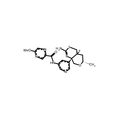 COc1cnc(C(=O)Nc2cncc([C@]34CO[C@@H](C)C[C@@]3(F)CSC(N)=N4)c2)cn1